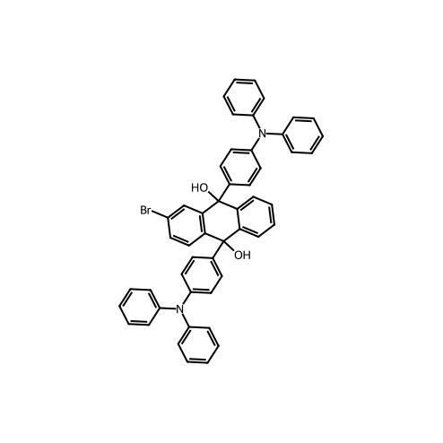 OC1(c2ccc(N(c3ccccc3)c3ccccc3)cc2)c2ccccc2C(O)(c2ccc(N(c3ccccc3)c3ccccc3)cc2)c2cc(Br)ccc21